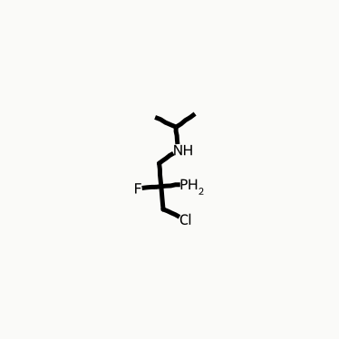 CC(C)NCC(F)(P)CCl